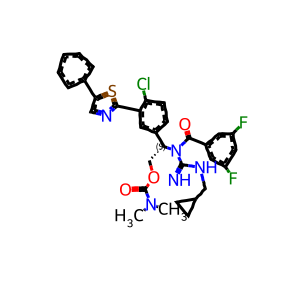 CN(C)C(=O)OC[C@H](c1ccc(Cl)c(-c2ncc(-c3ccccc3)s2)c1)N(C(=N)NCC1CC1)C(=O)c1cc(F)cc(F)c1